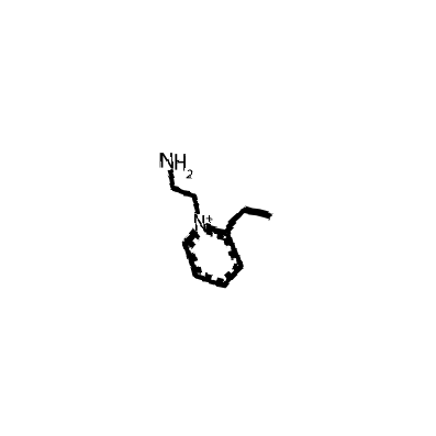 CCc1cccc[n+]1CCN